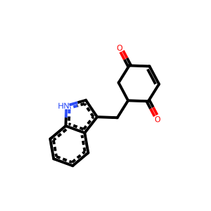 O=C1C=CC(=O)C(Cc2c[nH]c3ccccc23)C1